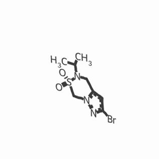 CC(C)N1Cc2cc(Br)nn2CS1(=O)=O